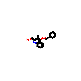 Cc1c(CO)nc2ccccc2c1OCc1ccccc1